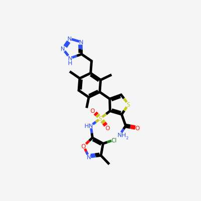 Cc1cc(C)c(-c2csc(C(N)=O)c2S(=O)(=O)Nc2onc(C)c2Cl)c(C)c1Cc1nnn[nH]1